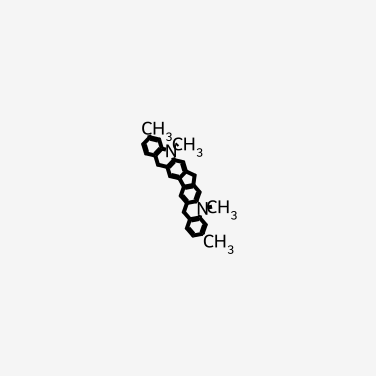 Cc1ccc2c(c1)N(C)c1cc3c(cc1C2)-c1cc2c(cc1C3)N(C)c1cc(C)ccc1C2